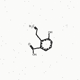 C=CCc1c(O)cccc1C(=O)O